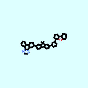 CC1(C)c2cc(-c3cccc(-c4cccc5c4oc4ccccc45)c3)ccc2-c2ccc(-c3ccc4c5ccccc5c5nccnc5c4c3)cc21